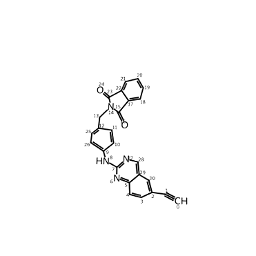 C#Cc1ccc2nc(Nc3ccc(CN4C(=O)c5ccccc5C4=O)cc3)ncc2c1